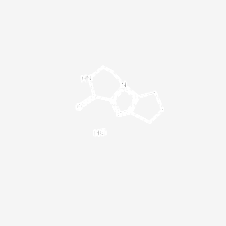 Cl.O=C1NCCn2c1cc1c2CCC1